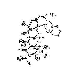 CCN(CCC1CCCCC1)Cc1cc(O)c2c(c1OC)C[C@H]1C[C@H]3[C@H](N(C)C)C(O)=C(C(N)=O)C(=O)[C@@]3(O)C(O)=C1C2=O